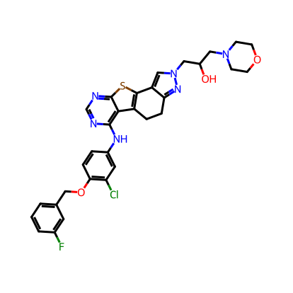 OC(CN1CCOCC1)Cn1cc2c(n1)CCc1c-2sc2ncnc(Nc3ccc(OCc4cccc(F)c4)c(Cl)c3)c12